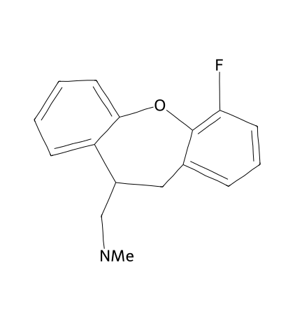 CNCC1Cc2cccc(F)c2Oc2ccccc21